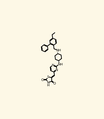 CCc1ccc(CN[C@H]2CC[C@H](Nc3nccc(/C=C4\SC(=O)NC4=O)n3)CC2)c(-c2ccccc2)c1